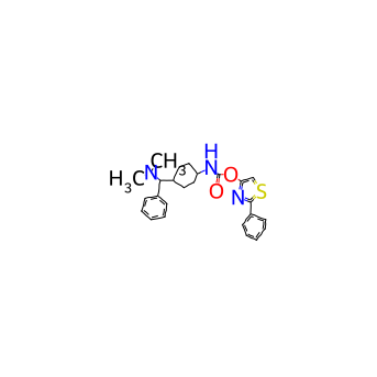 CN(C)C(c1ccccc1)C1CCC(NC(=O)Oc2csc(-c3ccccc3)n2)CC1